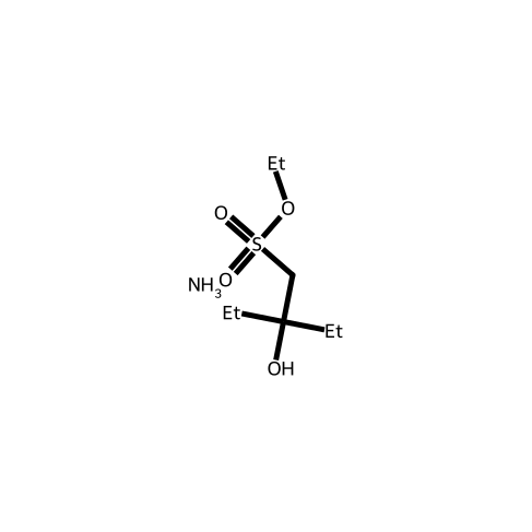 CCOS(=O)(=O)CC(O)(CC)CC.N